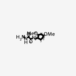 COc1ccc(CNC(=O)C(=O)NN)c(OC)c1